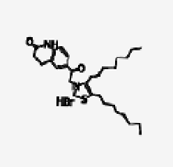 Br.CCCCCCCCC1=C(CCCCCCCC)N(CC(=O)c2ccc3c(c2)CCC(=O)N3)CS1